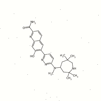 CN(c1ccc(-c2cc3ccc(C(N)=O)nc3cc2O)nn1)C1CC(C)(C)CNC(C)(C)C1